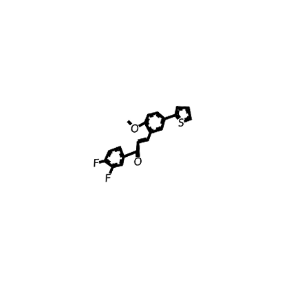 COc1ccc(-c2cccs2)cc1C=CC(=O)c1ccc(F)c(F)c1